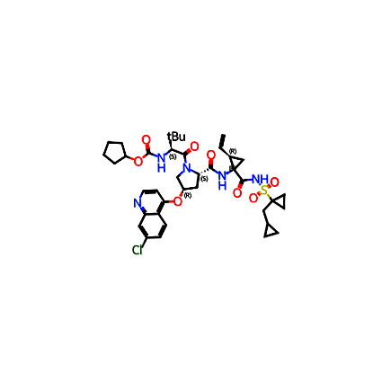 C=C[C@H]1C[C@]1(NC(=O)[C@@H]1C[C@@H](Oc2ccnc3cc(Cl)ccc23)CN1C(=O)[C@@H](NC(=O)OC1CCCC1)C(C)(C)C)C(=O)NS(=O)(=O)C1(CC2CC2)CC1